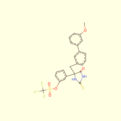 COc1cccc(-c2cccc(CC3(c4cccc(OS(=O)(=O)C(F)(F)F)c4)NC(=S)NC3=O)c2)c1